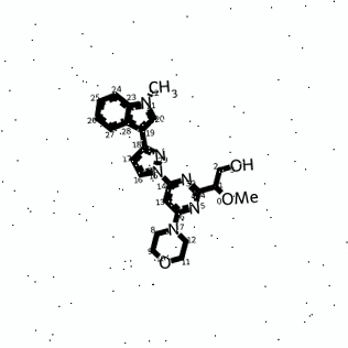 COC(CO)c1nc(N2CCOCC2)cc(-n2ccc(-c3cn(C)c4ccccc34)n2)n1